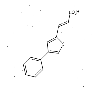 O=C(O)C=Cc1cc(-c2ccccc2)cs1